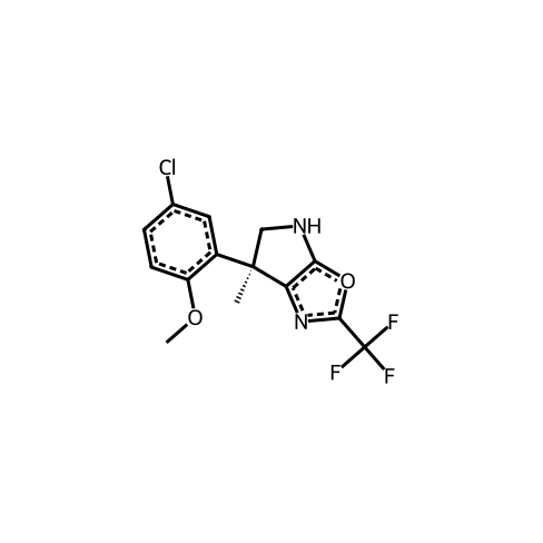 COc1ccc(Cl)cc1[C@@]1(C)CNc2oc(C(F)(F)F)nc21